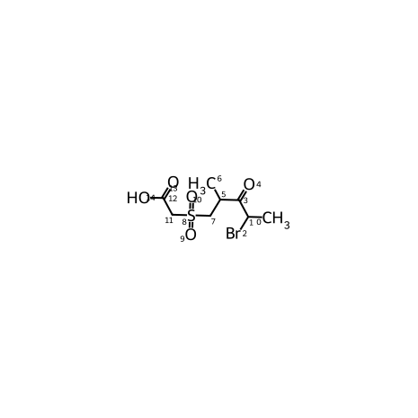 CC(Br)C(=O)C(C)CS(=O)(=O)CC(=O)O